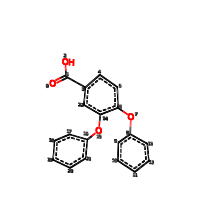 O=C(O)c1ccc(Oc2ccccc2)c(Oc2ccccc2)c1